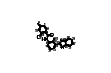 Cc1ccc(C(=O)Nc2cccc(-c3nc4ccccc4s3)c2C)c(Cl)c1